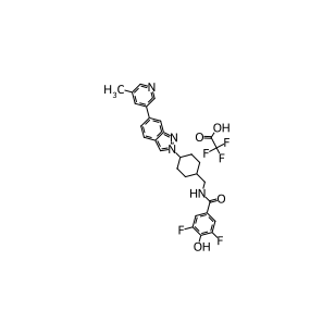 Cc1cncc(-c2ccc3cn(C4CCC(CNC(=O)c5cc(F)c(O)c(F)c5)CC4)nc3c2)c1.O=C(O)C(F)(F)F